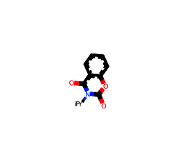 CC(C)n1c(=O)oc2ccccc2c1=O